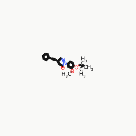 COc1cc(-n2ncc(C#Cc3ccccc3)cc2=O)ccc1OCC(C)(C)C